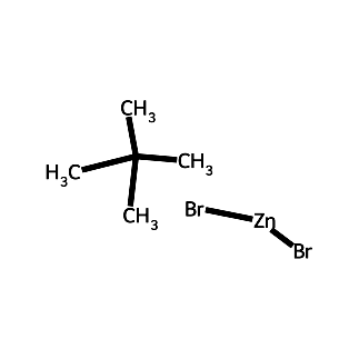 CC(C)(C)C.[Br][Zn][Br]